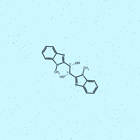 Cn1c([C@H](O)[C@@H](O)c2nc3ccccc3n2C)nc2ccccc21